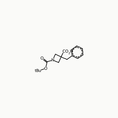 CC(C)(C)OC(=O)N1CC(Cc2ccccc2)(C(=O)O)C1